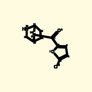 O=C(c1ccc(Cl)o1)N1CC2CCC(C1)NC2